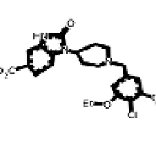 CCOc1cc(CN2CCC(n3c(=O)[nH]c4cc(C(=O)O)ccc43)CC2)cc(OCC)c1Cl